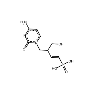 Nc1ccn(CC(C=CP(=O)(O)O)CO)c(=O)n1